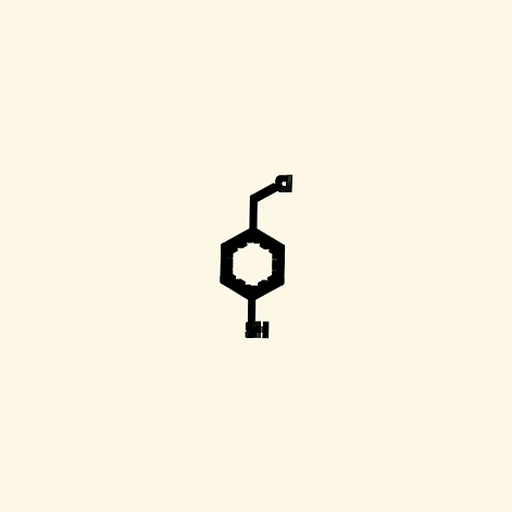 Sc1ccc(CCl)cc1